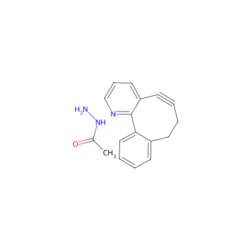 C1#Cc2cccnc2-c2ccccc2CC1.CC(=O)NN